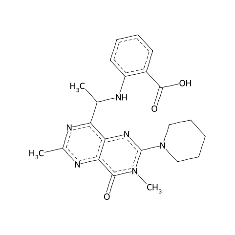 Cc1nc(C(C)Nc2ccccc2C(=O)O)c2nc(N3CCCCC3)n(C)c(=O)c2n1